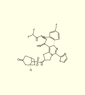 C[C@H]1CC2CC(=O)C[C@H]1C2S(=O)(=O)N[C@H]1CC2=C(C(=N)/C=C\NC(F)F)[C@H](c3ccc(F)cc3Cl)N=C(c3nccs3)N2C1